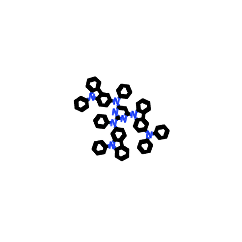 c1ccc(N(c2ccccc2)c2ccc3c(c2)c2ccccc2n3-c2cc(N(c3ccccc3)c3ccc4c(c3)c3ccccc3n4-c3ccccc3)nc(N(c3ccccc3)c3ccc4c5ccccc5n(-c5ccccc5)c4c3)n2)cc1